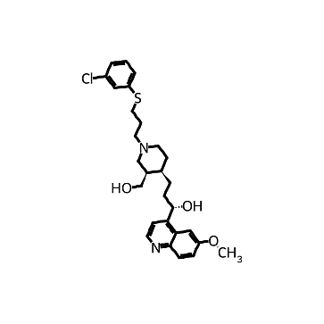 COc1ccc2nccc([C@@H](O)CC[C@@H]3CCN(CCCSc4cccc(Cl)c4)C[C@@H]3CO)c2c1